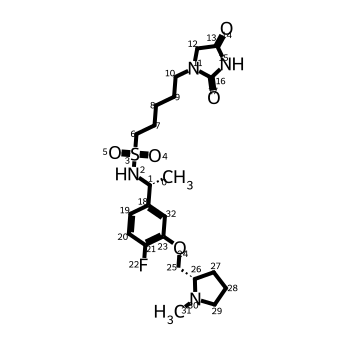 C[C@@H](NS(=O)(=O)CCCCCN1CC(=O)NC1=O)c1ccc(F)c(OC[C@@H]2CCCN2C)c1